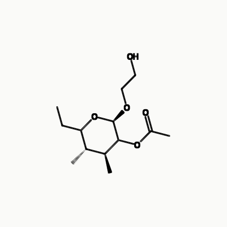 CCC1O[C@@H](OCCO)C(OC(C)=O)[C@@H](C)[C@@H]1C